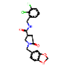 O=C(NCc1cccc(Cl)c1Cl)C1CC(=O)N(Cc2ccc3c(c2)OCO3)C1